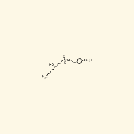 C=CCCCC(O)CCCCS(=O)(=O)NCCCc1ccc(C(=O)O)cc1